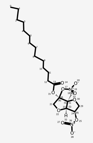 CCCCCCCCCCCCCC(=O)O[C@@]1(O[N+](=O)[O-])CO[C@@H]2[C@H](O[N+](=O)[O-])CO[C@@H]21